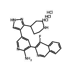 Cl.Cl.Cl.Nc1ncc(-c2c[nH]nc2C2CCNCC2)cc1-c1ncc2ccccc2c1F